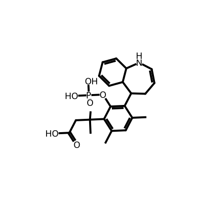 Cc1cc(C)c(C(C)(C)CC(=O)O)c(OP(=O)(O)O)c1C1CC=CNC2C=CC=CC21